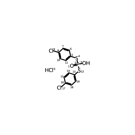 Cl.O=P(O)(Sc1ccc(Cl)cc1)Sc1ccc(Cl)cc1